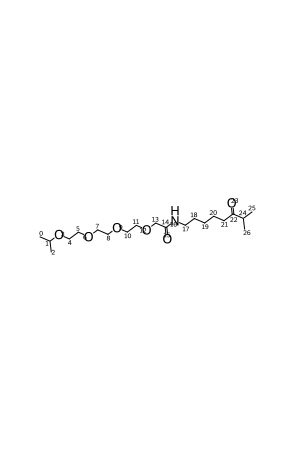 CC(C)OCCOCCOCCOCC(=O)NCCCCCC(=O)C(C)C